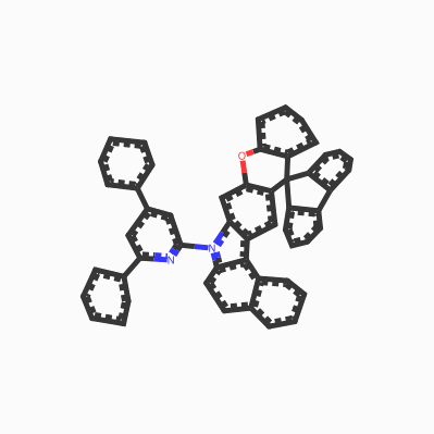 c1ccc(-c2cc(-c3ccccc3)nc(-n3c4cc5c(cc4c4c6ccccc6ccc43)C3(c4ccccc4O5)c4ccccc4-c4ccccc43)c2)cc1